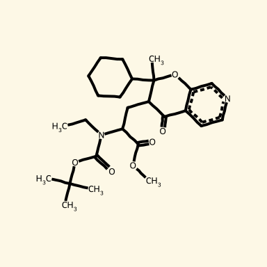 CCN(C(=O)OC(C)(C)C)C(CC1C(=O)c2ccncc2OC1(C)C1CCCCC1)C(=O)OC